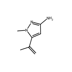 C=C(C)c1cc(N)nn1C